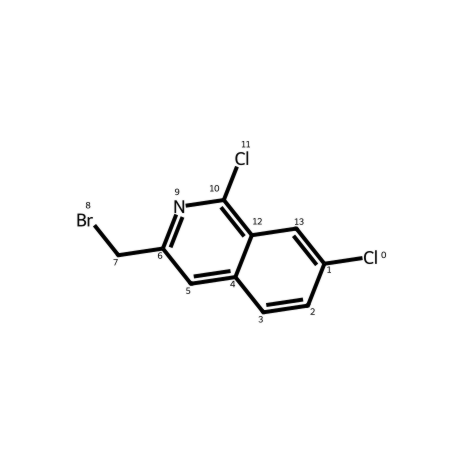 Clc1ccc2cc(CBr)nc(Cl)c2c1